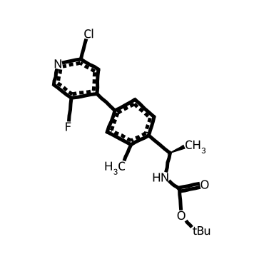 Cc1cc(-c2cc(Cl)ncc2F)ccc1[C@@H](C)NC(=O)OC(C)(C)C